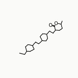 CCC1CCC(CCC2CCC(CCC3CCC(C)OC3=O)CC2)CC1